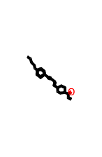 C=CC(=O)C1CCC(C=CC#Cc2ccc(CCCCC)cc2)CC1